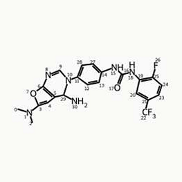 CN(C)c1cc2c(o1)N=CN(c1ccc(NC(=O)Nc3cc(C(F)(F)F)ccc3F)cc1)C2N